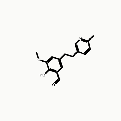 COc1cc(CCc2ccc(C)nc2)cc(C=O)c1O